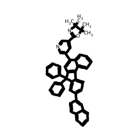 CC1(C)N=C(c2cncc(-c3cc4c(c5ccccc35)-c3ccc(-c5ccc6ccccc6c5)cc3C4(c3ccccc3)c3ccccc3)c2)OC1(C)C